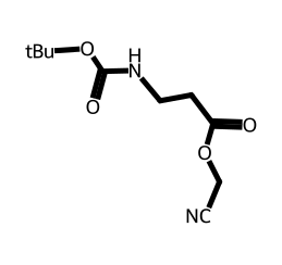 CC(C)(C)OC(=O)NCCC(=O)OCC#N